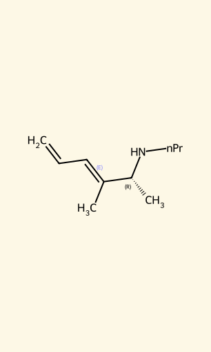 C=C/C=C(\C)[C@@H](C)NCCC